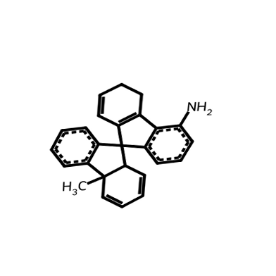 CC12C=CC=CC1C1(C3=C(CCC=C3)c3c(N)cccc31)c1ccccc12